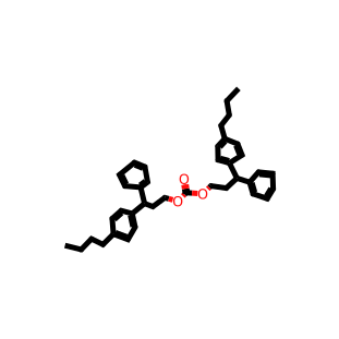 CCCCc1ccc(C(CCOC(=O)OCCC(c2ccccc2)c2ccc(CCCC)cc2)c2ccccc2)cc1